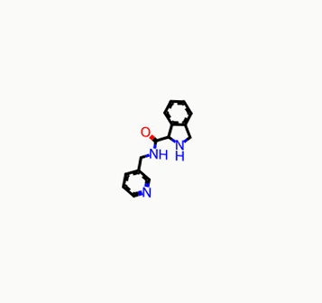 O=C(NCc1cccnc1)C1NCc2ccccc21